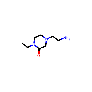 CCN1CCN(CCN)CC1=O